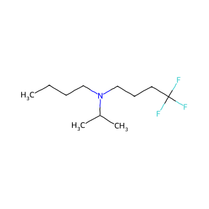 CCCCN(CCCC(F)(F)F)C(C)C